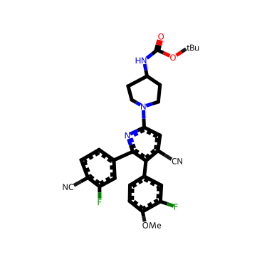 COc1ccc(-c2c(C#N)cc(N3CCC(NC(=O)OC(C)(C)C)CC3)nc2-c2ccc(C#N)c(F)c2)cc1F